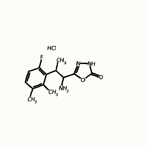 Cc1ccc(F)c(C(C)C(N)c2n[nH]c(=O)o2)c1C.Cl